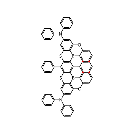 c1ccc(-c2c3c(c(-c4ccccc4)c4c2Sc2cc(N(c5ccccc5)c5ccccc5)cc5c2B4c2ccccc2O5)B2c4ccccc4Oc4cc(N(c5ccccc5)c5ccccc5)cc(c42)S3)cc1